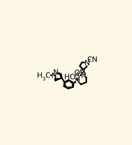 Cn1cc(-c2cccc(N3CCCN([C@@H]4CCN(C#N)C4)S3(O)O)c2)cn1